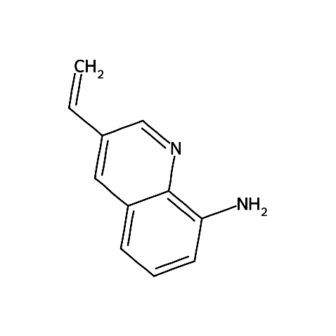 C=Cc1cnc2c(N)cccc2c1